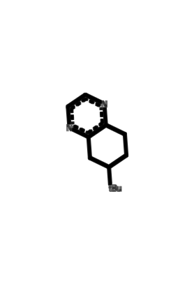 CC(C)(C)C1CCc2nccnc2C1